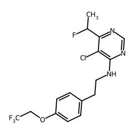 CC(F)c1ncnc(NCCc2ccc(OCC(F)(F)F)cc2)c1Cl